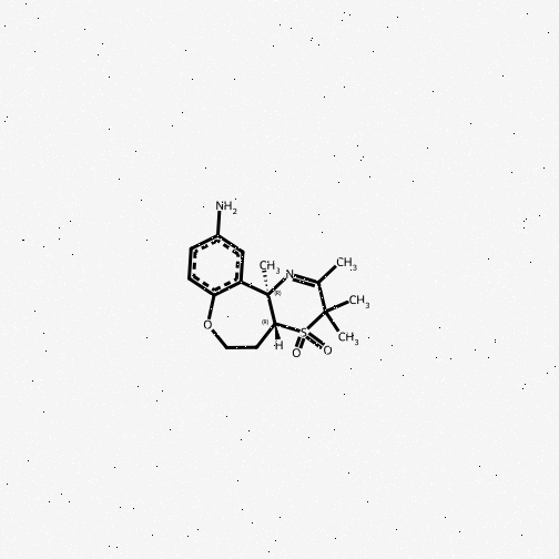 CC1=N[C@]2(C)c3cc(N)ccc3OCC[C@H]2S(=O)(=O)C1(C)C